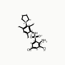 Cc1cc(C)c(N2CCCC2)c(C)c1NS(=O)(=O)c1cc(Cl)cc(Cl)c1N